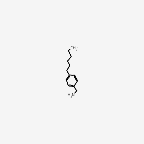 [CH2]CCCCCc1ccc(CN)cc1